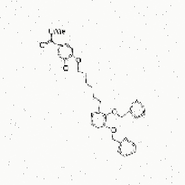 COC(=O)c1ccc(OCCCCCCc2cccc(OCc3ccccc3)c2OCc2ccccc2)c(Cl)c1